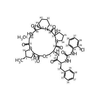 C[C@@H]1C[C@H]2C(=O)OC[C@H](NC(=O)[C@H](Cc3ccccc3)NC(=O)Nc3ccccc3Cl)C(=O)N3CCC[C@H]3C(=O)N3CCCC[C@H]3C(=O)N[C@@H](C)C(=O)N2C1